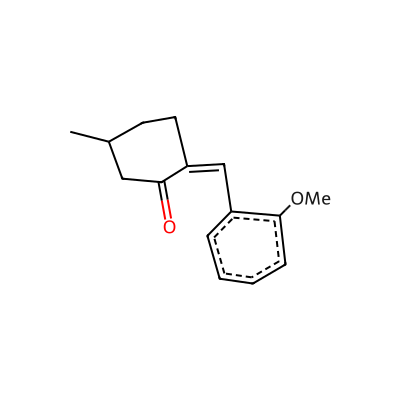 COc1ccccc1C=C1CCC(C)CC1=O